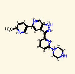 Cc1ccc(-c2cc3c(-c4cccc(N5CCNCC5)n4)n[nH]c3cn2)cn1